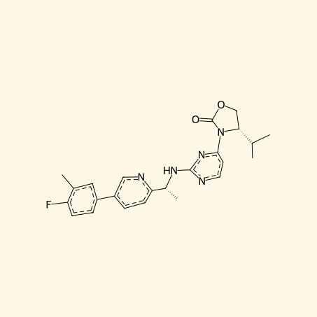 Cc1cc(-c2ccc([C@@H](C)Nc3nccc(N4C(=O)OC[C@@H]4C(C)C)n3)nc2)ccc1F